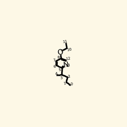 CCCC(C)c1ccc(OCC)cn1